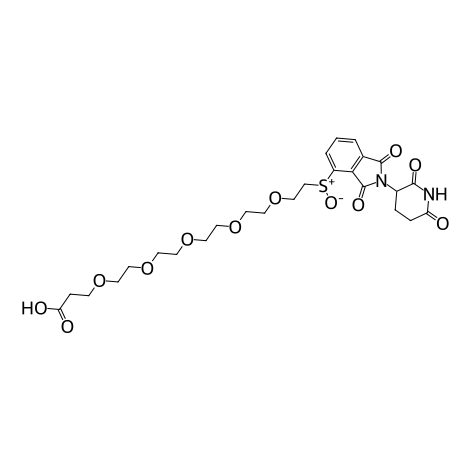 O=C(O)CCOCCOCCOCCOCCOCC[S+]([O-])c1cccc2c1C(=O)N(C1CCC(=O)NC1=O)C2=O